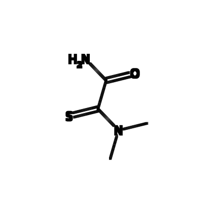 CN(C)C(=S)C(N)=O